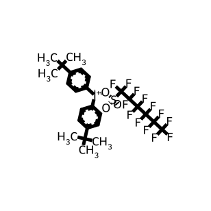 CC(C)(C)c1ccc([I+](OS(=O)(=O)C(F)(F)C(F)(F)C(F)(F)C(F)(F)C(F)(F)C(F)(F)F)c2ccc(C(C)(C)C)cc2)cc1